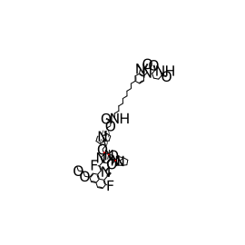 C#Cc1c(F)ccc2cc(OCOC)cc(-c3ncc4c(N5CC6CCC(C5)N6C(=O)OC(C)(C)C)nc(OC[C@@]56CCCN5[C@H](COC(=O)NCCCCCCCCCc5ccc7c(c5)n(C)c(=O)n7C5CCC(=O)NC5=O)CC6)nc4c3F)c12